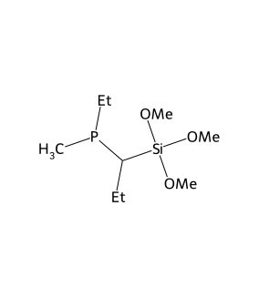 CCC(P(C)CC)[Si](OC)(OC)OC